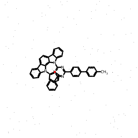 Cc1ccc(-c2ccc(-c3nc(-c4ccccc4)nc(-n4c5ccccc5c5ccc6c7ccccc7n(-c7ccccc7)c6c54)n3)cc2)cc1